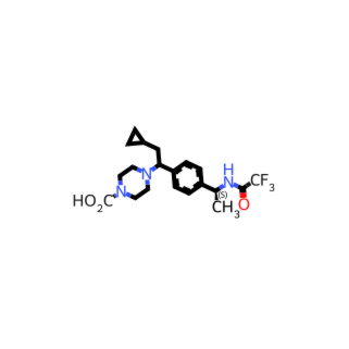 C[C@H](NC(=O)C(F)(F)F)c1ccc(C(CC2CC2)N2CCN(C(=O)O)CC2)cc1